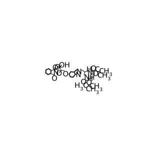 CC(C)(C)OC(=O)NCC(CNC(=O)OC(C)(C)C)Cn1cc2cc(OCC(ON3C(=O)c4ccccc4C3=O)C(=O)O)ccc2n1